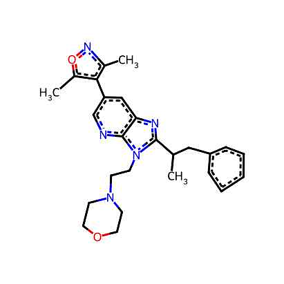 Cc1noc(C)c1-c1cnc2c(c1)nc(C(C)Cc1ccccc1)n2CCN1CCOCC1